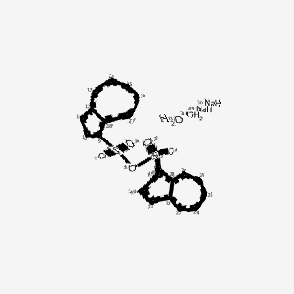 O.O.O=S(=O)(OS(=O)(=O)c1ccc2cccccc1-2)c1ccc2cccccc1-2.[NaH].[NaH]